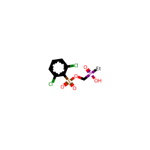 CCP(=O)(O)COS(=O)(=O)c1c(Cl)cccc1Cl